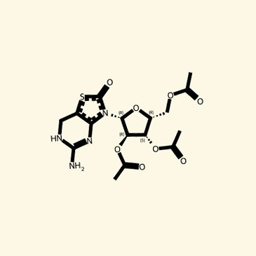 CC(=O)OC[C@H]1O[C@@H](n2c3c(sc2=O)CNC(N)=N3)[C@H](OC(C)=O)[C@H]1OC(C)=O